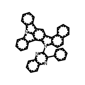 c1ccc(-c2nc3ccccc3nc2-n2c3ccc4ccccc4c3c3cc4c5ccccc5n5c6ccccc6c(c32)c45)cc1